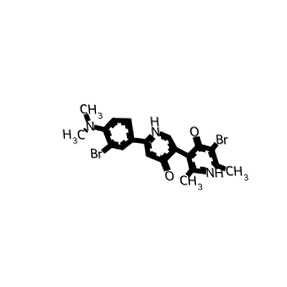 Cc1[nH]c(C)c(-c2c[nH]c(-c3ccc(N(C)C)c(Br)c3)cc2=O)c(=O)c1Br